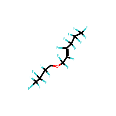 FC(=C(F)C(F)(F)C(F)(F)C(F)(F)F)C(F)(F)OCC(F)(F)C(F)(F)C(F)(F)F